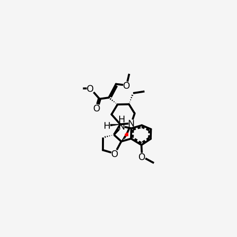 CC[C@@H]1CN2CC[C@@]34OCC[C@@]3(Nc3cccc(OC)c34)[C@@H]2C[C@@H]1/C(=C\OC)C(=O)OC